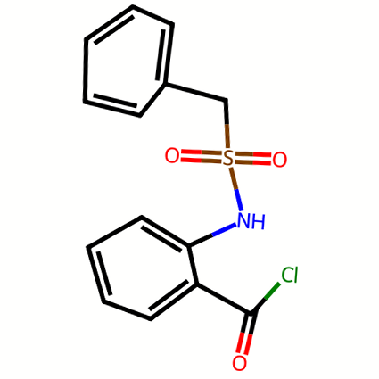 O=C(Cl)c1ccccc1NS(=O)(=O)Cc1ccccc1